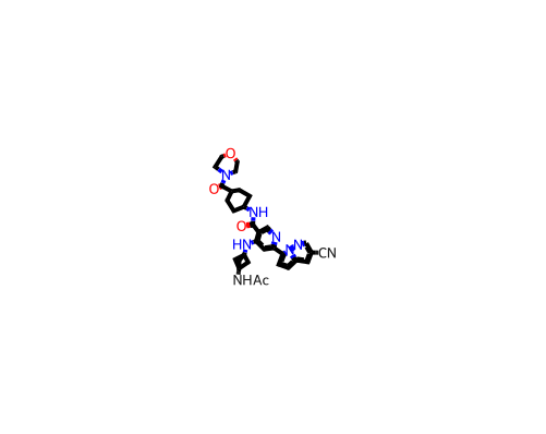 CC(=O)NC12CC(Nc3cc(-c4ccc5cc(C#N)cnn45)ncc3C(=O)NC3CCC(C(=O)N4CCOCC4)CC3)(C1)C2